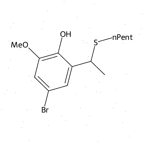 CCCCCSC(C)c1cc(Br)cc(OC)c1O